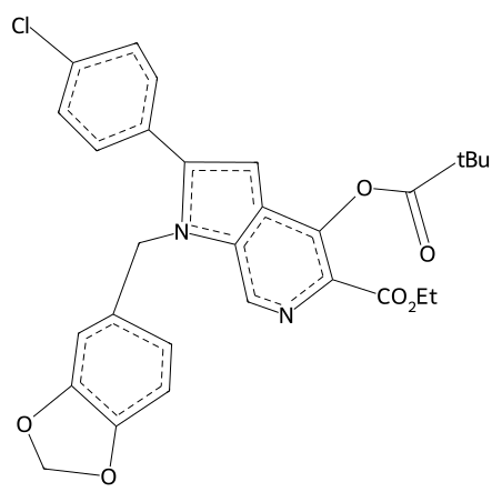 CCOC(=O)c1ncc2c(cc(-c3ccc(Cl)cc3)n2Cc2ccc3c(c2)OCO3)c1OC(=O)C(C)(C)C